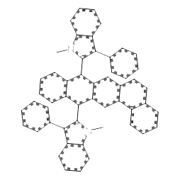 Cn1c(-c2c3ccccc3c(-c3c(-c4ccccc4)c4ccccc4n3C)c3cc4c(ccc5ccccc54)cc23)c(-c2ccccc2)c2ccccc21